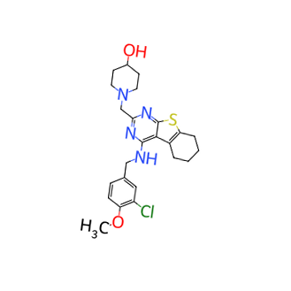 COc1ccc(CNc2nc(CN3CCC(O)CC3)nc3sc4c(c23)CCCC4)cc1Cl